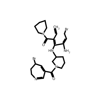 C=C/C(C(=O)N1CCCCC1)=C(NC1CCCN(C(=O)C2=CC(Br)CCN=C2)C1)\C(N)=C/CBr